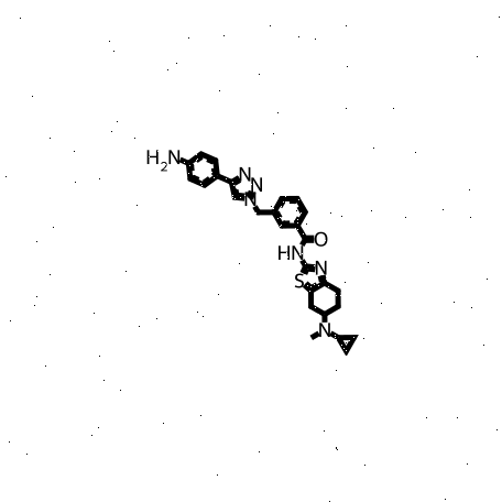 CN(C1CC1)C1CCc2nc(NC(=O)c3cccc(Cn4cc(-c5ccc(N)cc5)nn4)c3)sc2C1